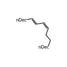 CCCCCCCCCC/C=C/[C]=C\CCCCCCCCCCCC